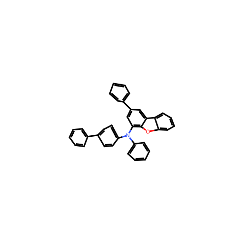 c1ccc(-c2ccc(N(c3ccccc3)c3cc(-c4ccccc4)cc4c3oc3ccccc34)cc2)cc1